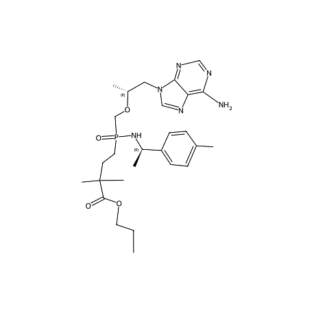 CCCOC(=O)C(C)(C)CCP(=O)(CO[C@H](C)Cn1cnc2c(N)ncnc21)N[C@H](C)c1ccc(C)cc1